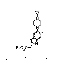 CCOC(=O)Cc1nc2cc(F)c(N3CCN(C4CC4)CC3)cc2[nH]1